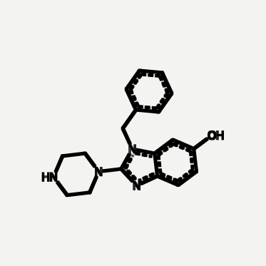 Oc1ccc2nc(N3CCNCC3)n(Cc3ccccc3)c2c1